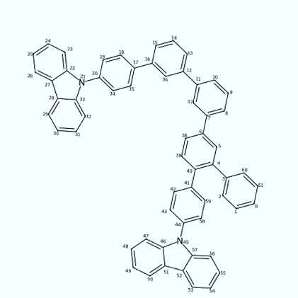 c1ccc(-c2cc(-c3cccc(-c4cccc(-c5ccc(-n6c7ccccc7c7ccccc76)cc5)c4)c3)ccc2-c2ccc(-n3c4ccccc4c4ccccc43)cc2)cc1